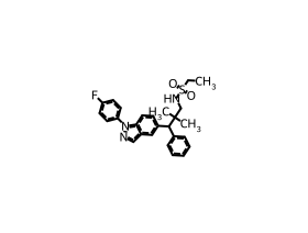 CCS(=O)(=O)NCC(C)(C)C(c1ccccc1)c1ccc2c(cnn2-c2ccc(F)cc2)c1